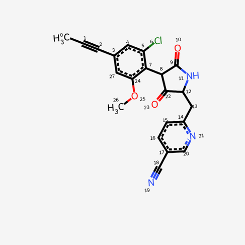 CC#Cc1cc(Cl)c(C2C(=O)NC(Cc3ccc(C#N)cn3)C2=O)c(OC)c1